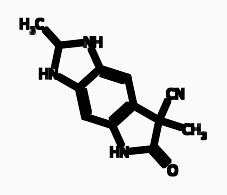 CC1Nc2cc3c(cc2N1)C(C)(C#N)C(=O)N3